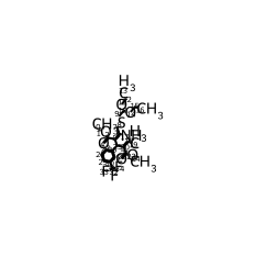 CCOC(=O)C1=C(CSCC(OCC)OCC)NC(C)=C(C(=O)OC)C1c1cccc(C(F)(F)F)c1